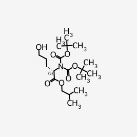 CC(C)COC(=O)[C@H](CCCO)N(C(=O)OC(C)(C)C)C(=O)OC(C)(C)C